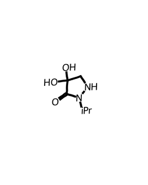 CC(C)N1NCC(O)(O)C1=O